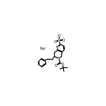 CC(C)(C)OC(=O)N1Cc2ccc(S(=O)(=O)[O-])nc2CC1CCc1ccccc1.[Na+]